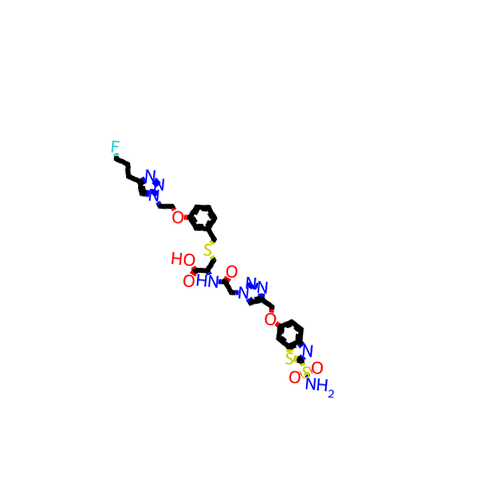 NS(=O)(=O)c1nc2ccc(OCc3cn(CC(=O)NC(CSCc4cccc(OCCn5cc(CCCF)nn5)c4)C(=O)O)nn3)cc2s1